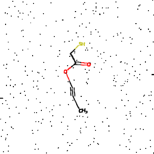 CC#COC(=O)CS